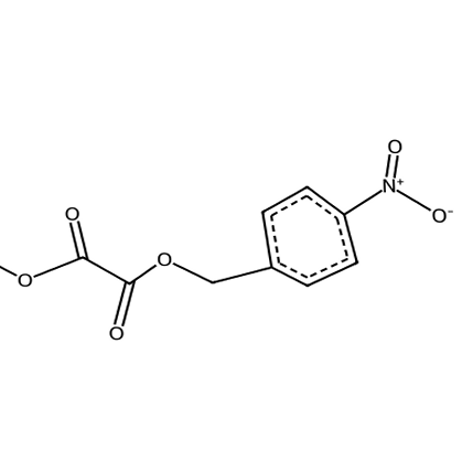 COC(=O)C(=O)OCc1ccc([N+](=O)[O-])cc1